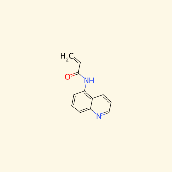 C=CC(=O)Nc1cccc2ncccc12